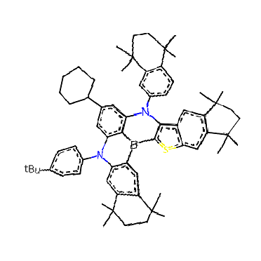 CC(C)(C)c1ccc(N2c3cc4c(cc3B3c5sc6cc7c(cc6c5N(c5ccc6c(c5)C(C)(C)CCC6(C)C)c5cc(C6CCCCC6)cc2c53)C(C)(C)CCC7(C)C)C(C)(C)CCC4(C)C)cc1